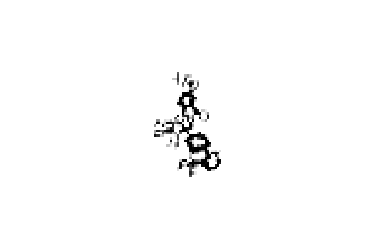 COc1ccc2c(c1)C(=O)N(C[C@@]1(c3ccc(-c4ncccc4C(F)(F)F)cc3)NC(=O)NC1=O)C2